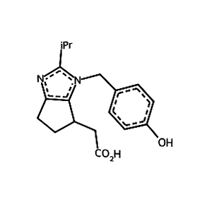 CC(C)c1nc2c(n1Cc1ccc(O)cc1)C(CC(=O)O)CC2